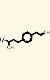 C=CCc1ccc(CCC(C)O)cc1